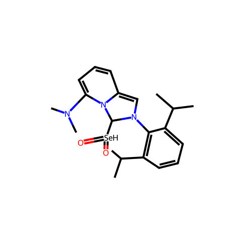 CC(C)c1cccc(C(C)C)c1N1C=C2C=CC=C(N(C)C)N2C1[SeH](=O)=O